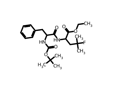 CCOC(=O)C(CC(C)(C)F)NC(=O)C(Cc1ccccc1)NC(=O)OC(C)(C)C